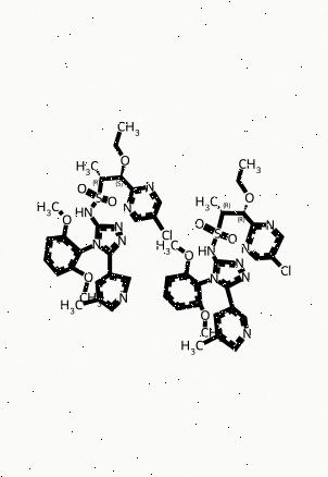 CCO[C@@H](c1ncc(Cl)cn1)[C@@H](C)S(=O)(=O)Nc1nnc(-c2cncc(C)c2)n1-c1c(OC)cccc1OC.CCO[C@H](c1ncc(Cl)cn1)[C@@H](C)S(=O)(=O)Nc1nnc(-c2cncc(C)c2)n1-c1c(OC)cccc1OC